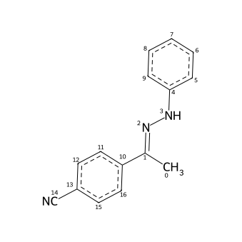 C/C(=N\Nc1ccccc1)c1ccc(C#N)cc1